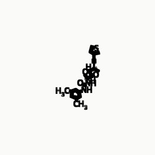 Cc1cc(C)cc(NC(=O)N[C@H]2CO[C@H]3[C@@H]2OC[C@@H]3C#Cc2ccsc2)c1